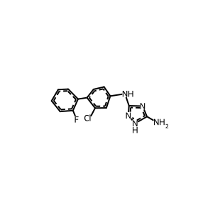 Nc1nc(Nc2ccc(-c3ccccc3F)c(Cl)c2)n[nH]1